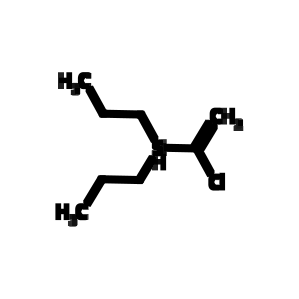 C=C(Cl)[SiH](CCC)CCC